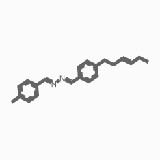 CC/C=C/CCc1ccc(/C=N/N=C/c2ccc(C)cc2)cc1